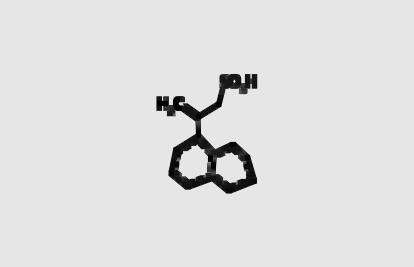 C=C(CS(=O)(=O)O)c1cccc2ccccc12